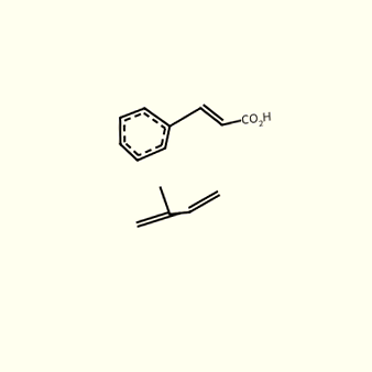 C=CC(=C)C.O=C(O)C=Cc1ccccc1